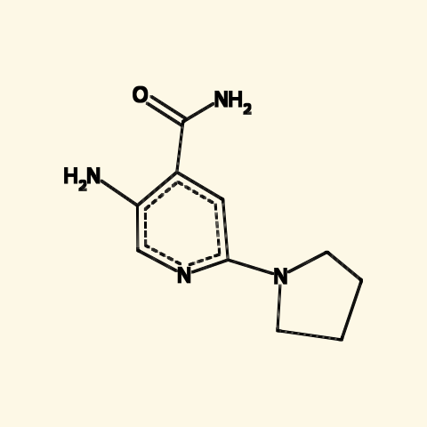 NC(=O)c1cc(N2CCCC2)ncc1N